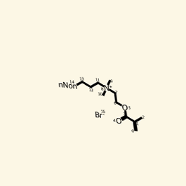 C=C(C)C(=O)OCC[N+](C)(C)CCCCCCCCCCCC.[Br-]